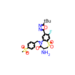 CC(C)(C)c1nnc(-c2cc3c(cc2F)S(=O)(=O)C[C@H](N)C(=O)N3Cc2ccc(S(C)(=O)=O)cc2)o1